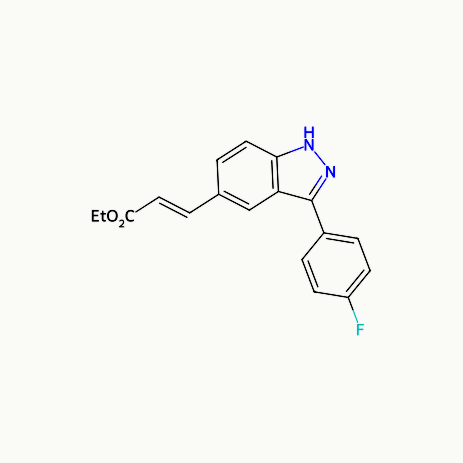 CCOC(=O)C=Cc1ccc2[nH]nc(-c3ccc(F)cc3)c2c1